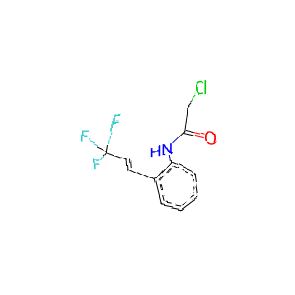 O=C(CCl)Nc1ccccc1/C=C/C(F)(F)F